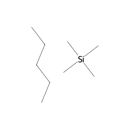 CCCCC.C[Si](C)(C)C